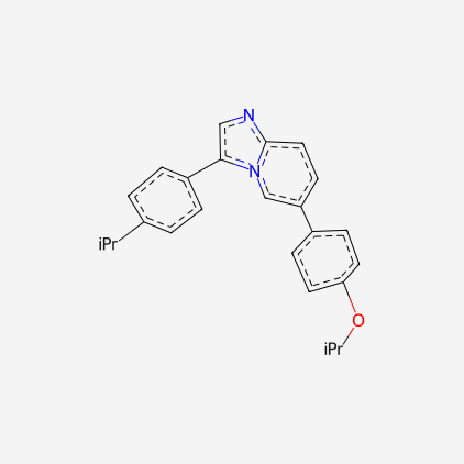 CC(C)Oc1ccc(-c2ccc3ncc(-c4ccc(C(C)C)cc4)n3c2)cc1